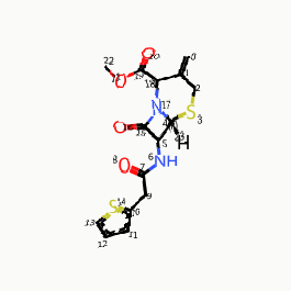 C=C1CS[C@@H]2C(NC(=O)Cc3cccs3)C(=O)N2C1C(=O)OC